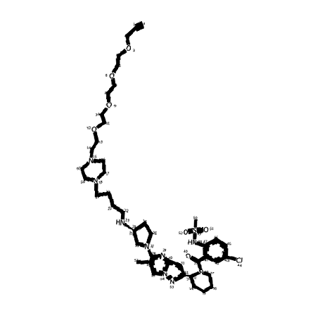 C#CCOCCOCCOCCOCCN1CCN(CCCCN[C@H]2CCN(c3nc4cc([C@@H]5CCCCN5C(=O)c5cc(Cl)ccc5NS(C)(=O)=O)nn4cc3C)C2)CC1